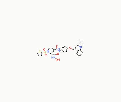 Cc1cc(COc2ccc(NC(=O)C3CCN(S(=O)(=O)c4cccs4)C[C@@H]3C(=O)NO)cc2)c2ccccc2n1